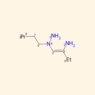 CC/C(N)=C/N(N)CCC(C)C